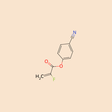 C=C(F)C(=O)Oc1ccc(C#N)cc1